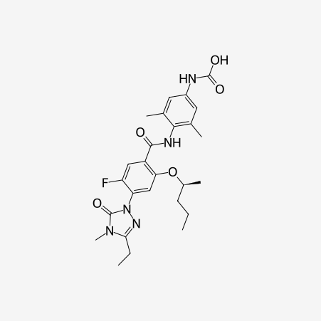 CCC[C@H](C)Oc1cc(-n2nc(CC)n(C)c2=O)c(F)cc1C(=O)Nc1c(C)cc(NC(=O)O)cc1C